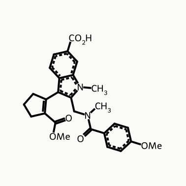 COC(=O)C1=C(c2c(CN(C)C(=O)c3ccc(OC)cc3)n(C)c3cc(C(=O)O)ccc23)CCC1